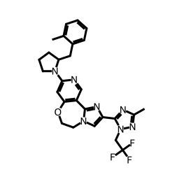 Cc1nc(-c2cn3c(n2)-c2cnc(N4CCCC4Cc4ccccc4C)cc2OCC3)n(CC(F)(F)F)n1